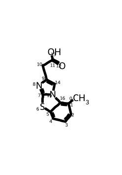 Cc1cccc2sc3nc(CC(=O)O)cn3c12